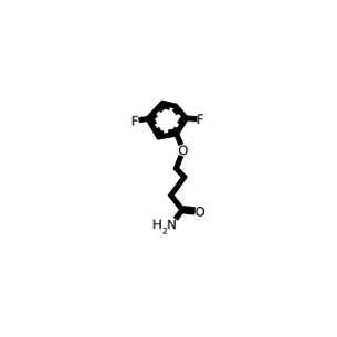 NC(=O)CCCOc1cc(F)ccc1F